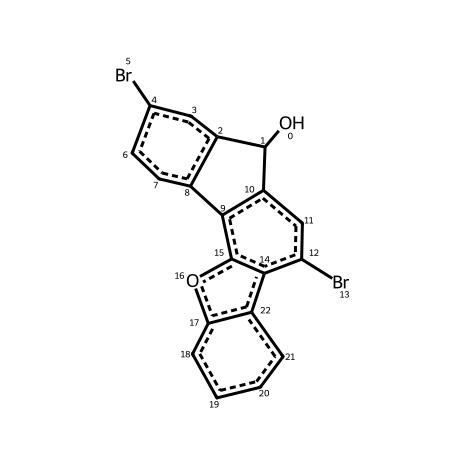 OC1c2cc(Br)ccc2-c2c1cc(Br)c1c2oc2ccccc21